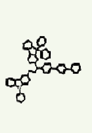 c1ccc(-c2ccc(-c3ccc(C(CCc4ccc5c(c4)c4ccccc4n5-c4ccccc4)c4ccc5c(c4)C(c4ccccc4)(c4ccccc4)c4ccccc4-5)cc3)cc2)cc1